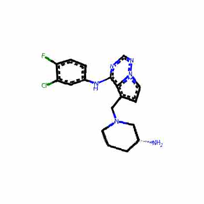 N[C@@H]1CCCN(Cc2ccn3ncnc(Nc4ccc(F)c(Cl)c4)c23)C1